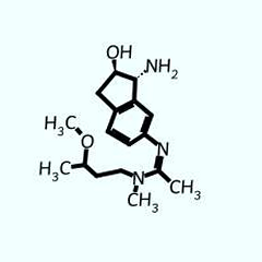 COC(C)CCN(C)C(C)=Nc1ccc2c(c1)[C@@H](N)[C@H](O)C2